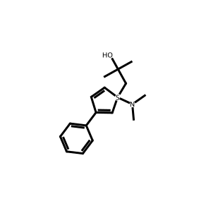 CN(C)S1(CC(C)(C)O)C=CC(c2ccccc2)=C1